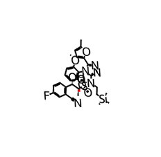 COc1cccc(OC)c1-n1c(-c2ccc(C)o2)nnc1N(CC[Si](C)(C)C)S(=O)(=O)[C@@H](C)[C@@H](O)c1ccc(F)cc1C#N